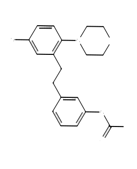 Nc1ccc(N2CCOCC2)c(CCc2cccc(NC(=O)O)c2)c1